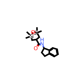 C[Si]1(C)CC(C(=O)NC2CCc3ccccc32)C[Si](C)(C)O1